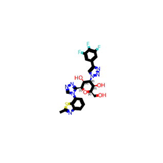 Cc1nc2cccc(-n3cnnc3[C@@H]3O[C@H](CO)[C@H](O)[C@H](n4cc(-c5cc(F)c(F)c(F)c5)nn4)[C@H]3O)c2s1